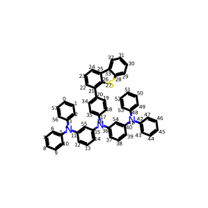 c1ccc(N(c2ccccc2)c2cccc(N(c3ccc(-c4cccc5c4sc4ccccc45)cc3)c3cccc(N(c4ccccc4)c4ccccc4)c3)c2)cc1